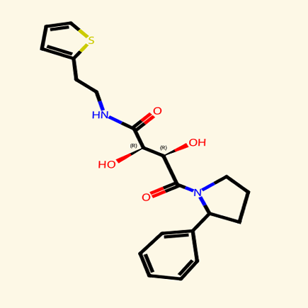 O=C(NCCc1cccs1)[C@H](O)[C@@H](O)C(=O)N1CCCC1c1ccccc1